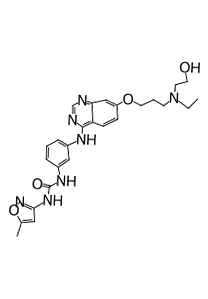 CCN(CCO)CCCOc1ccc2c(Nc3cccc(NC(=O)Nc4cc(C)on4)c3)ncnc2c1